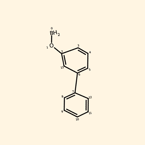 BOc1cccc(-c2ccccc2)c1